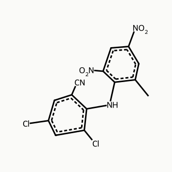 Cc1cc([N+](=O)[O-])cc([N+](=O)[O-])c1Nc1c(Cl)cc(Cl)cc1C#N